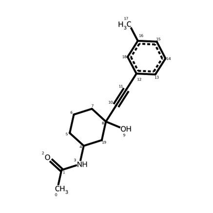 CC(=O)NC1CCCC(O)(C#Cc2cccc(C)c2)C1